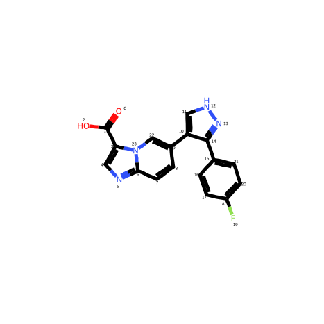 O=C(O)c1cnc2ccc(-c3c[nH]nc3-c3ccc(F)cc3)cn12